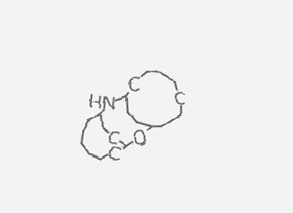 C1CCCC2CCC(CCC1)OC1CCCCCCC(CC1)N2